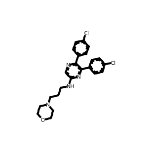 Clc1ccc(-c2ncc(NCCCN3CCOCC3)nc2-c2ccc(Cl)cc2)cc1